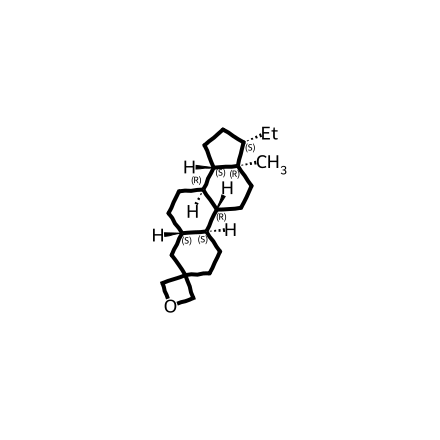 CC[C@H]1CC[C@H]2[C@@H]3CC[C@H]4CC5(CC[C@@H]4[C@H]3CC[C@]12C)COC5